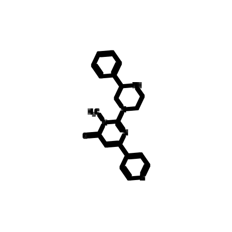 Cn1c(N2CCNC(c3ccccc3)C2)nc(-c2ccncc2)cc1=O